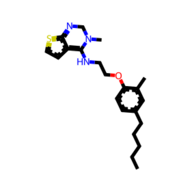 CCCCCc1ccc(OCCNC2=c3ccsc3=NCN2C)c(C)c1